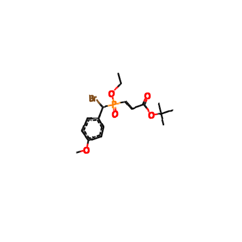 CCOP(=O)(CCC(=O)OC(C)(C)C)C(Br)c1ccc(OC)cc1